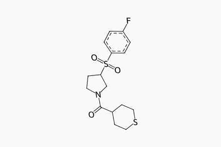 O=C(C1CCSCC1)N1CCC(S(=O)(=O)c2ccc(F)cc2)C1